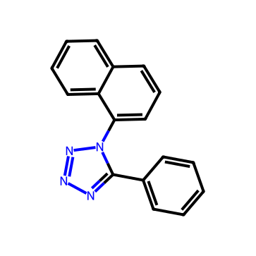 c1ccc(-c2nnnn2-c2cccc3ccccc23)cc1